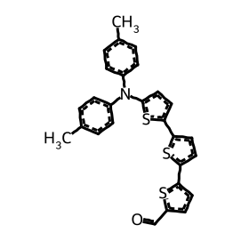 Cc1ccc(N(c2ccc(C)cc2)c2ccc(-c3ccc(-c4ccc(C=O)s4)s3)s2)cc1